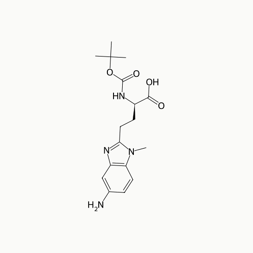 Cn1c(CC[C@@H](NC(=O)OC(C)(C)C)C(=O)O)nc2cc(N)ccc21